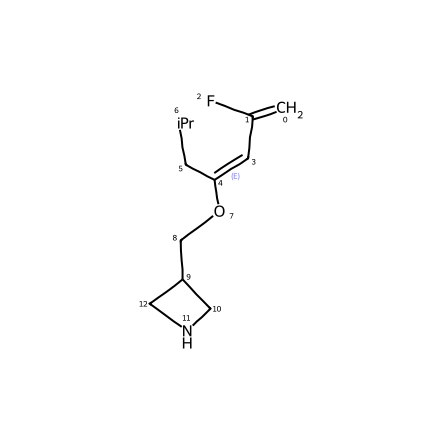 C=C(F)/C=C(\CC(C)C)OCC1CNC1